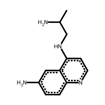 CC(N)CNc1ccnc2ccc(N)cc12